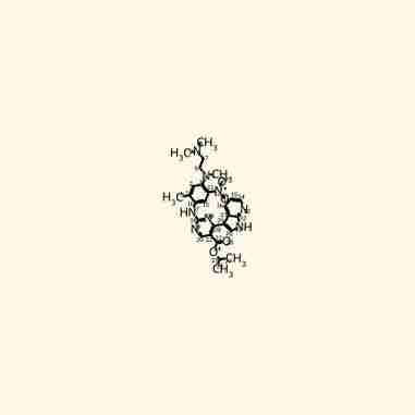 Cc1cc(N(C)CCN(C)C)c([N+](=O)[O-])cc1Nc1ncc(C(=O)OC(C)C)c(-c2c[nH]c3ncccc23)n1